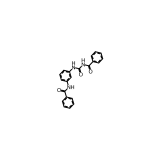 O=C(NC(=O)c1ccccc1)Nc1cccc(NC(=O)c2ccccc2)c1